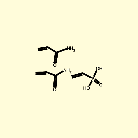 C=CC(N)=O.C=CC(N)=O.C=CP(=O)(O)O